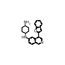 N[C@H]1CC[C@@H](Nc2ccc3cncc(-c4cc5ccccc5o4)c3c2)CC1